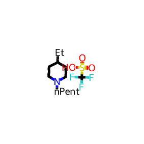 CCCCCN1CCC(CC)CC1.O=S(=O)(O)C(F)(F)F